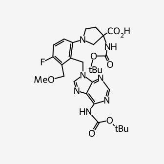 COCc1c(F)ccc(N2CCC(NC(=O)OC(C)(C)C)(C(=O)O)C2)c1Cn1cnc2c(NC(=O)OC(C)(C)C)ncnc21